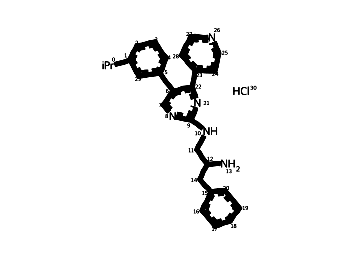 CC(C)c1cccc(-c2cnc(NCC(N)Cc3ccccc3)nc2-c2ccncc2)c1.Cl